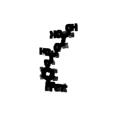 CCCCCc1ccc(OCC(O)COCC(O)CO)cc1